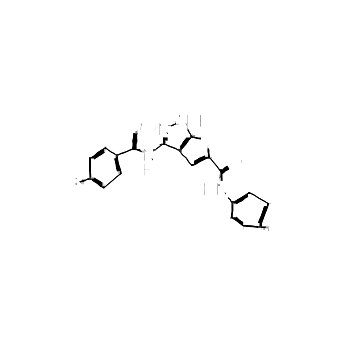 O=C(Nc1n[nH]c2sc(C(=O)Nc3ccc(Cl)cc3)cc12)c1ccc(F)cc1